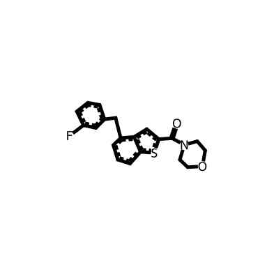 O=C(c1cc2c(Cc3cccc(F)c3)cccc2s1)N1CCOCC1